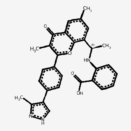 Cc1cc([C@@H](C)Nc2ccccc2C(=O)O)c2oc(-c3ccc(-c4c[nH]nc4C)cc3)c(C)c(=O)c2c1